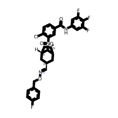 C[C@H]1C[C@H]2C[C@H](/C=N/OCc3ccc(F)cc3)CC1C2S(=O)(=O)c1cc(C(=O)Nc2cc(F)c(F)c(F)c2)ccc1Cl